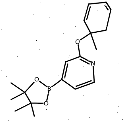 CC1(Oc2cc(B3OC(C)(C)C(C)(C)O3)ccn2)C=CC=CC1